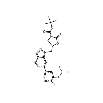 CC(C)(C)OC(=O)N1CC(Cn2ncc3ncc(-c4ccc(F)c(OC(F)F)c4)nc32)OC1=O